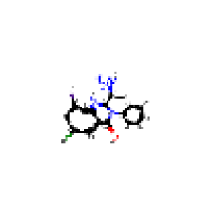 C[C@H](N)c1nc2c(I)cc(F)cc2c(=O)n1-c1ccccc1